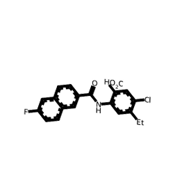 CCc1cc(NC(=O)c2ccc3cc(F)ccc3c2)c(C(=O)O)cc1Cl